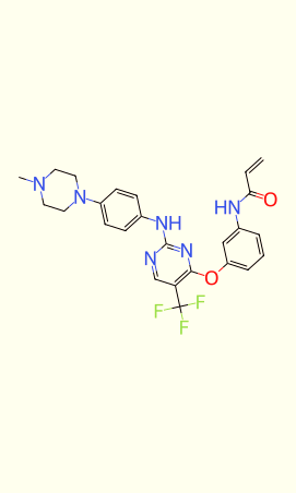 C=CC(=O)Nc1cccc(Oc2nc(Nc3ccc(N4CCN(C)CC4)cc3)ncc2C(F)(F)F)c1